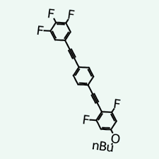 CCCCOc1cc(F)c(C#Cc2ccc(C#Cc3cc(F)c(F)c(F)c3)cc2)c(F)c1